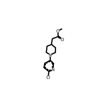 COC(=O)CC1CCN(c2ccc(Cl)nc2)CC1